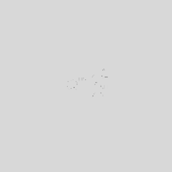 C=C(/N=C(/N/C(C=C(C)C)=N/C)c1scc(C)c1C)N[C@@H](C)c1ccc(F)cn1